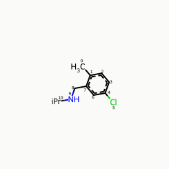 Cc1ccc(Cl)cc1CNC(C)C